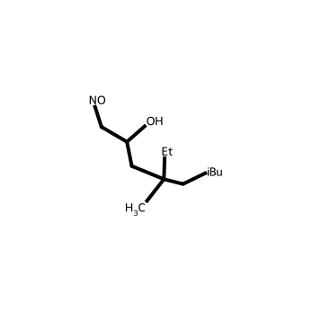 CCC(C)CC(C)(CC)CC(O)CN=O